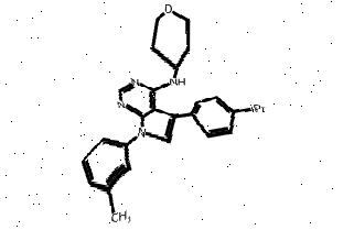 Cc1cccc(-n2cc(-c3ccc(C(C)C)cc3)c3c(NC4CCOCC4)ncnc32)c1